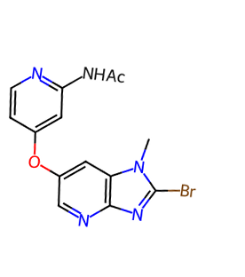 CC(=O)Nc1cc(Oc2cnc3nc(Br)n(C)c3c2)ccn1